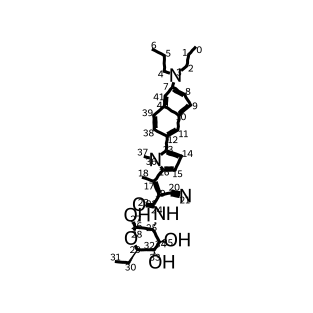 CCCN(CCC)c1ccc2cc(-c3ccc(/C(C)=C(\C#N)C(=O)N[C@H]4C(O)O[C@H](CC)[C@@H](O)[C@@H]4O)n3C)ccc2c1